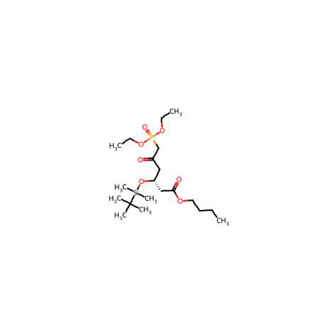 CCCCOC(=O)C[C@@H](CC(=O)CP(=O)(OCC)OCC)O[Si](C)(C)C(C)(C)C